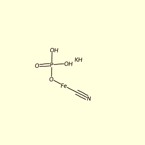 N#[C][Fe][O]P(=O)(O)O.[KH]